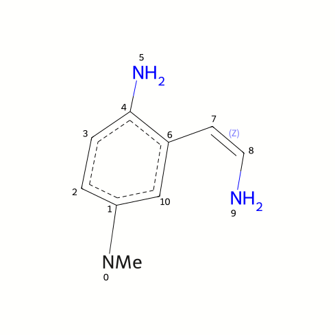 CNc1ccc(N)c(/C=C\N)c1